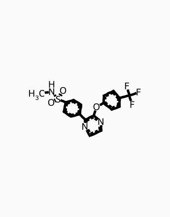 CNS(=O)(=O)c1ccc(-c2nccnc2Oc2ccc(C(F)(F)F)cc2)cc1